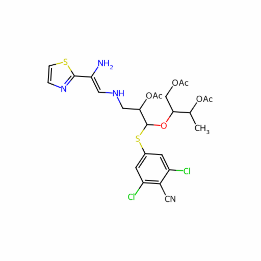 CC(=O)OCC(OC(Sc1cc(Cl)c(C#N)c(Cl)c1)C(CN/C=C(\N)c1nccs1)OC(C)=O)C(C)OC(C)=O